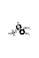 C1CNCCN1.COS(=O)(=O)O.COc1ccccc1.N